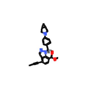 CC#Cc1ccc(C(=O)OC)c2c1cnn2[C@@H](C)c1ccc(N2CC3CC3C2)cc1